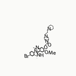 COc1cc2c(N[C@H](C)c3cccc(Br)c3)nc(C)nc2cc1OCC(=O)N1CCN(CCCN2CCCCC2)CC1